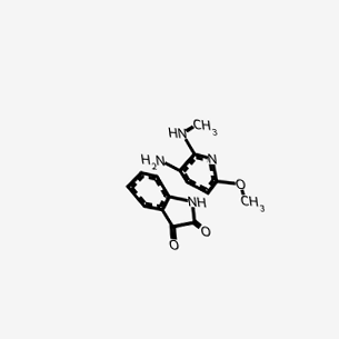 CNc1nc(OC)ccc1N.O=C1Nc2ccccc2C1=O